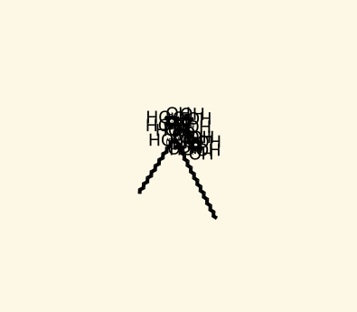 CCCCCCCCCCCCCCCCCCCCCCC(O)C(=O)N[C@@H](COP(=O)(O)O[C@H]1C(O)C(O)C(O)[C@@H](O)C1O[C@H]1O[C@H](COP(=O)(O)OC2C(O)C(O)C(O)[C@@H](O)C2O)[C@@H](O)C(O)C1O)[C@H](O)CCCCCCCCCCCCCCCCC